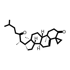 CC(C)CCC(=O)[C@@H](C)[C@H]1CC[C@H]2[C@@H]3CC=C4C5(CC5)C(=O)CC[C@]4(C)[C@H]3CC[C@]12C